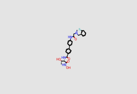 C[C@@H](O)[C@H](NC(=O)c1ccc(-c2ccc(NC(=O)CN(C)Cc3ccccc3F)cc2)cc1)C(=O)NO